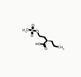 CCC[C@H](CCOS(C)(=O)=O)C(=O)O